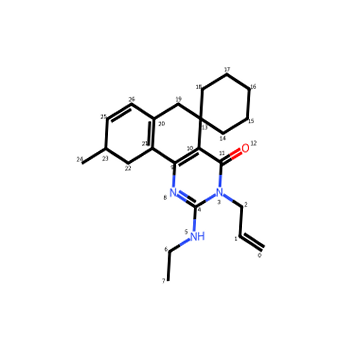 C=CCn1c(NCC)nc2c(c1=O)C1(CCCCC1)CC1=C2CC(C)C=C1